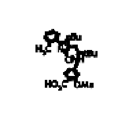 CCCCn1c(-c2ccccc2C)nc(Cl)c1CC(NCc1ccc(C(=O)O)c(OC)c1)C(C)(C)C